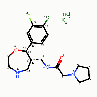 Cl.Cl.O=C(CN1CCCC1)NC[C@@H]1CNCCO[C@H]1c1ccc(Cl)c(F)c1